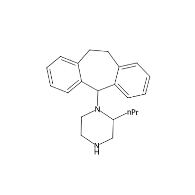 CCCC1CNCCN1C1c2ccccc2CCc2ccccc21